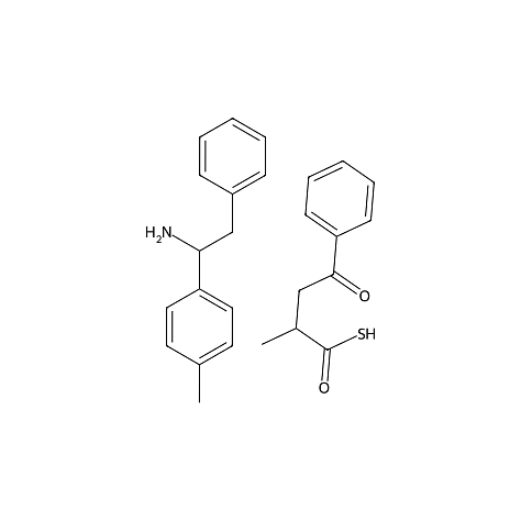 CC(CC(=O)c1ccccc1)C(=O)S.Cc1ccc(C(N)Cc2ccccc2)cc1